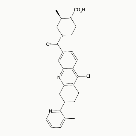 Cc1cccnc1C1CCc2c(nc3cc(C(=O)N4CCN(C(=O)O)[C@H](C)C4)ccc3c2Cl)C1